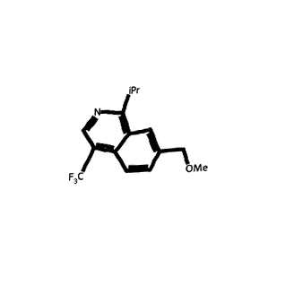 COCc1ccc2c(C(F)(F)F)cnc(C(C)C)c2c1